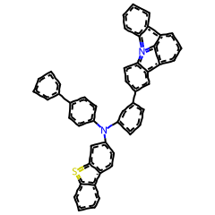 c1ccc(-c2ccc(N(c3cccc(-c4ccc5c(c4)c4cccc6c7ccccc7n5c64)c3)c3ccc4c(c3)sc3ccccc34)cc2)cc1